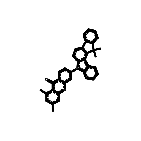 Cc1cc(C)c2c(=O)c3ccc(-n4c5ccccc5c5c6c(ccc54)-c4ccccc4C6(C)C)cc3oc2c1